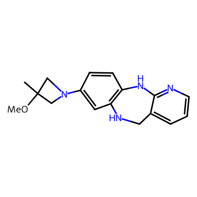 COC1(C)CN(c2ccc3c(c2)NCc2cccnc2N3)C1